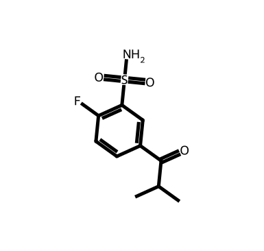 CC(C)C(=O)c1ccc(F)c(S(N)(=O)=O)c1